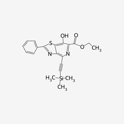 CCOC(=O)c1nc(C#C[Si](C)(C)C)c2nc(-c3ccccc3)sc2c1O